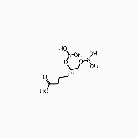 O=C(O)CCC[C@@H](CON(O)O)ON(O)O